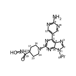 CC(C)n1cnc2c(-c3cnc(N)nc3)nc(N3CCC(C(=O)NO)CC3)nc21